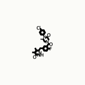 Cc1c(Cc2ccc(F)c(C(=O)N3CC(=O)N(c4ccc(Cl)cc4)[C@H](C)C3)c2)n[nH]c(=O)c1C